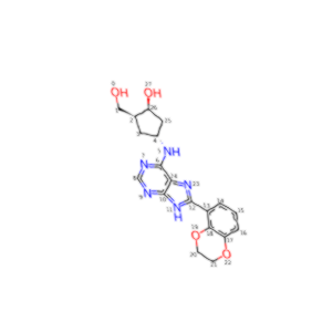 OC[C@@H]1C[C@@H](Nc2ncnc3[nH]c(-c4cccc5c4OCCO5)nc23)C[C@@H]1O